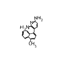 Cc1ccc(-c2ccc(N)nc2N)c2ccccc12